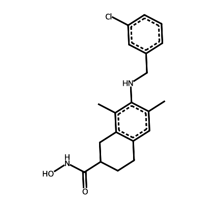 Cc1cc2c(c(C)c1NCc1cccc(Cl)c1)CC(C(=O)NO)CC2